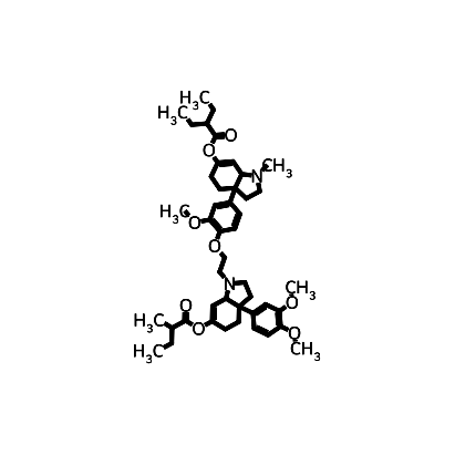 CCC(C)C(=O)OC1=CC2N(CCOc3ccc(C45CCC(OC(=O)C(CC)CC)=CC4N(C)CC5)cc3OC)CCC2(c2ccc(OC)c(OC)c2)CC1